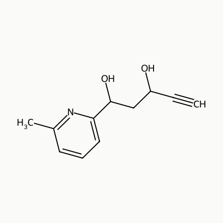 C#CC(O)CC(O)c1cccc(C)n1